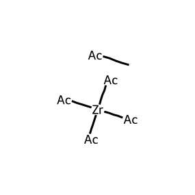 CC(C)=O.C[C](=O)[Zr]([C](C)=O)([C](C)=O)[C](C)=O